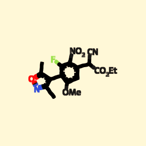 CCOC(=O)C(C#N)c1cc(OC)c(-c2c(C)noc2C)c(F)c1[N+](=O)[O-]